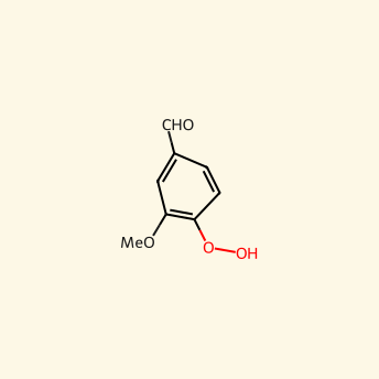 COc1cc(C=O)ccc1OO